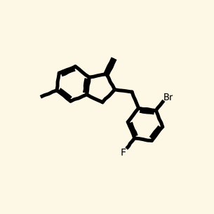 C=C1c2ccc(C)cc2CC1Cc1cc(F)ccc1Br